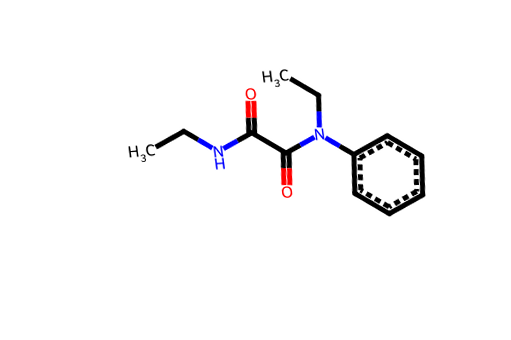 CCNC(=O)C(=O)N(CC)c1ccccc1